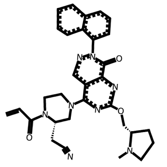 C=CC(=O)N1CCN(c2nc(OC[C@@H]3CCCN3C)nc3c(=O)n(-c4cccc5ccccc45)ncc23)C[C@@H]1CC#N